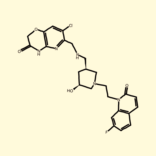 O=C1COc2cc(Cl)c(CNC[C@@H]3C[C@H](O)CN(CCn4c(=O)ccc5ccc(F)cc54)C3)nc2N1